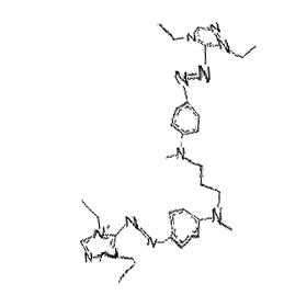 CCn1nc[n+](CC)c1N=Nc1ccc(N(C)CCCN(C)c2ccc(N=Nc3n(CC)nc[n+]3CC)cc2)cc1